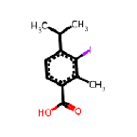 Cc1c(C(=O)O)ccc(C(C)C)c1I